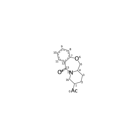 CC(=O)C1CCC2COc3ccccc3C(=O)N2C1